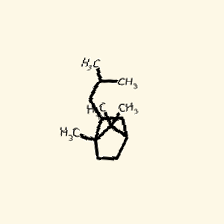 CC(C)C[C]1CC2CCC1(C)C2(C)C